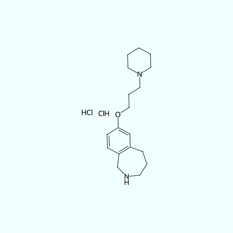 Cl.Cl.c1cc2c(cc1OCCCN1CCCCC1)CCCNC2